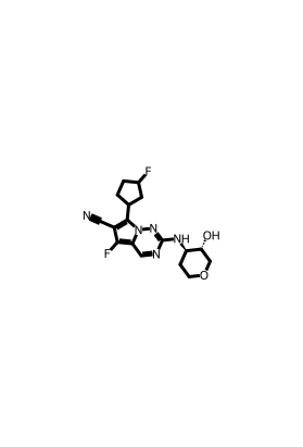 N#Cc1c(F)c2cnc(N[C@@H]3CCOC[C@H]3O)nn2c1C1CCC(F)C1